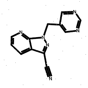 N#Cc1nn(Cc2cncnc2)c2ncccc12